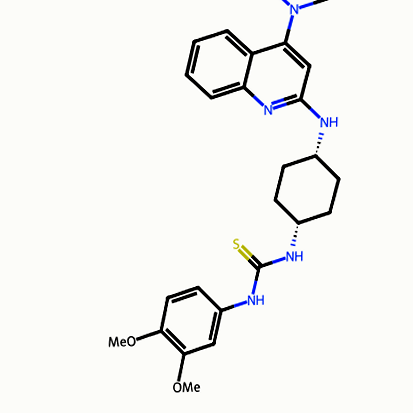 COc1ccc(NC(=S)N[C@H]2CC[C@@H](Nc3cc(N(C)C)c4ccccc4n3)CC2)cc1OC